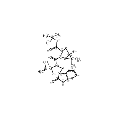 C=[N+](C)[C@@H]1C[C@@]2(CN1C(=O)[C@@H]1C3[C@H](CN1C(=O)OC(C)(C)C)C3(C)C)C(=O)Nc1ccccc12